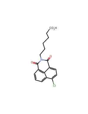 O=C(O)CCCCCN1C(=O)c2cccc3c(Cl)ccc(c23)C1=O